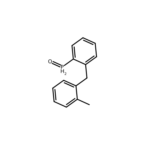 Cc1ccccc1Cc1ccccc1[PH2]=O